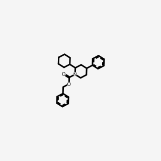 O=C(OCc1ccccc1)N1CCC(c2ccccc2)CC1C1CCCCC1